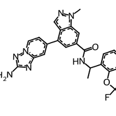 CC(NC(=O)c1cc(-c2ccn3nc(N)nc3c2)c2cnn(C)c2c1)c1ccccc1OC(F)(F)F